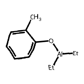 C[CH2][Al]([CH2]C)[O]c1ccccc1C